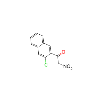 O=C(C[N+](=O)[O-])c1cc2ccccc2cc1Cl